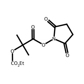 CCOC(=O)OC(C)(C)C(=O)ON1C(=O)CCC1=O